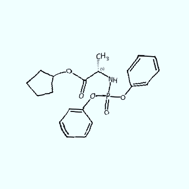 C[C@H](NP(=O)(Oc1ccccc1)Oc1ccccc1)C(=O)OC1CCCC1